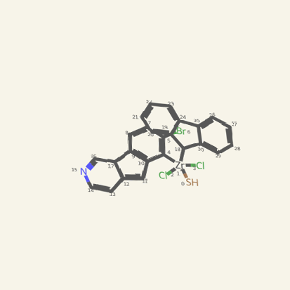 [SH][Zr]([Cl])([Cl])([c]1c(Br)ccc2c1C=C1C=CN=CC12)[CH]1c2ccccc2-c2ccccc21